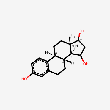 C[C@]12CC[C@@H]3c4ccc(O)cc4CC[C@H]3[C@@H]1C(O)C[C@@H]2O